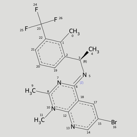 Cc1c([C@@H](C)/N=c2\nc(C)n(C)c3ncc(Br)cc23)cccc1C(F)(F)F